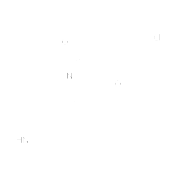 O=C(c1cc(Cl)co1)N1CC2CNCC2C1